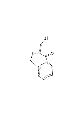 O=C1/C(=C\Cl)SCc2ccccc21